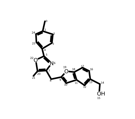 Cc1ccc(-c2nc(Cc3cc4cc(CO)ccc4o3)c(C)o2)cc1